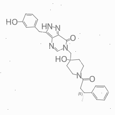 C[C@H](CC(=O)N1CCC(O)(Cn2cnc3c(Cc4cccc(O)c4)[nH]nc3c2=O)CC1)c1ccccc1